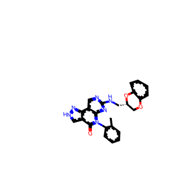 Cc1ccccc1-n1c(=O)c2c[nH]nc2c2cnc(NC[C@H]3COc4ccccc4O3)nc21